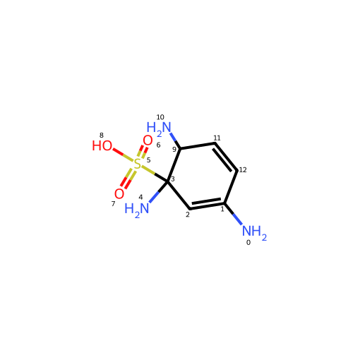 NC1=CC(N)(S(=O)(=O)O)C(N)C=C1